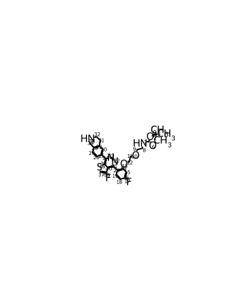 CC(C)(C)OC(=O)NCCOCCOc1cc(F)ccc1-c1nnc(-c2ccc3c(c2)CCNC3)c2scc(F)c12